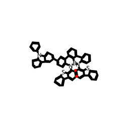 c1ccc(-n2c3ccccc3c3cc(-c4ccc5c(c4)-c4cccc6c4B(N(c4cccc7c4sc4ccccc47)c4ccccc4-6)N5c4cccc5c4sc4ccccc45)ccc32)cc1